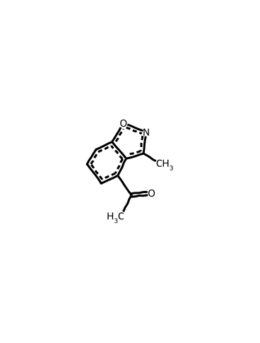 CC(=O)c1cccc2onc(C)c12